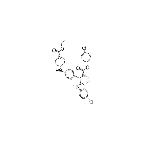 CCOC(=O)N1CCC(Nc2ccc(C3c4[nH]c5ccc(Cl)cc5c4CCN3C(=O)OC3C=CC(Cl)=CC3)cc2)CC1